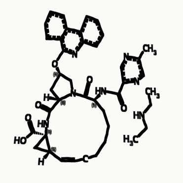 CCNCC.Cc1cnc(C(=O)N[C@H]2CCCCCC=C[C@@H]3C[C@@]3(C(=O)O)NC(=O)[C@@H]3C[C@@H](Oc4nc5ccccc5c5ccccc45)CN3C2=O)cn1